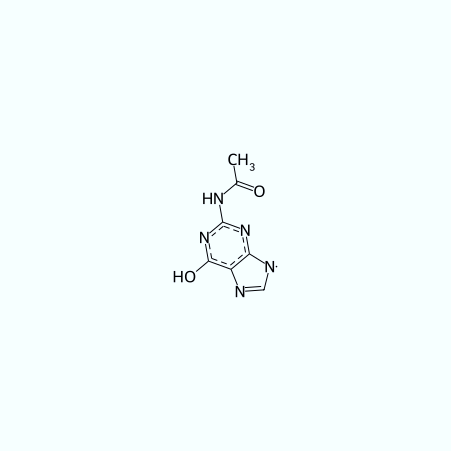 CC(=O)Nc1nc(O)c2c(n1)[N]C=N2